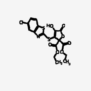 CCOC(=O)C1(C(=O)OCC)OC(=O)C(O)=C1Sc1nc2cc(Cl)ccc2s1